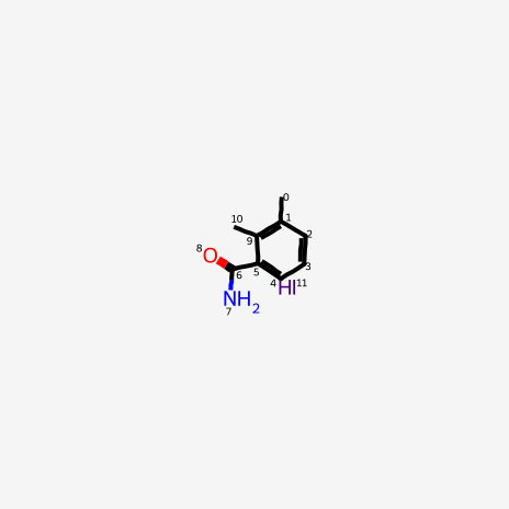 Cc1cccc(C(N)=O)c1C.I